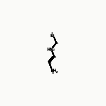 CCCN/C=C/N